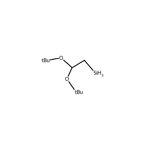 CC(C)(C)OC(C[SiH3])OC(C)(C)C